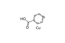 O=C(O)c1ccncc1.[Cu]